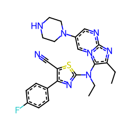 CCc1nc2ncc(N3CCNCC3)cn2c1N(CC)c1nc(-c2ccc(F)cc2)c(C#N)s1